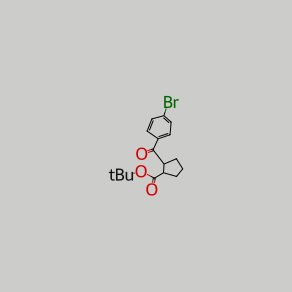 CC(C)(C)OC(=O)C1CCCC1C(=O)c1ccc(Br)cc1